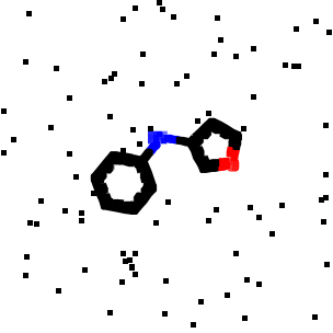 c1ccc(Nc2ccoc2)cc1